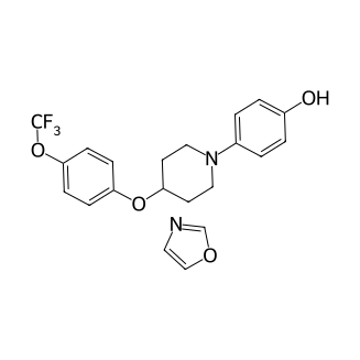 Oc1ccc(N2CCC(Oc3ccc(OC(F)(F)F)cc3)CC2)cc1.c1cocn1